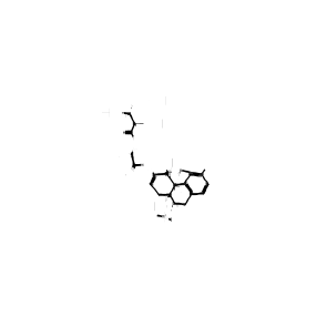 CCN(C)[C@@H]1Cc2ccc(O)c3c2[C@@]2(C)[C@@H](O3)C(OC(=O)[C@H](C)OC(=O)[C@H](O)[C@@H](O)C(=O)O)=CC[C@@]12O